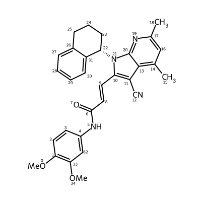 COc1ccc(NC(=O)/C=C/c2c(C#N)c3c(C)cc(C)nc3n2[C@H]2CCCc3ccccc32)cc1OC